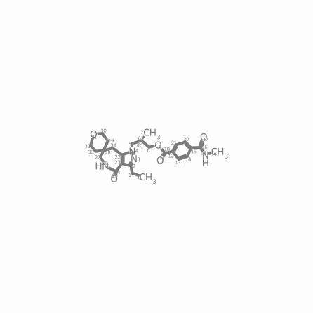 CCc1nn(C[C@@H](C)COC(=O)c2ccc(C(=O)NC)cc2)c2c1C(=O)NCC1(CCOCC1)C2